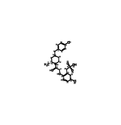 C[C@@H]1CN(Cc2ccc(Cl)cc2)CCN1C(=O)COc1ncc(Cl)cc1CS(=O)(=O)O